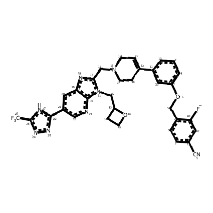 N#Cc1ccc(COc2cccc(C3=CCN(Cc4nc5cc(-c6nnc(C(F)(F)F)[nH]6)cnc5n4CC4CCO4)CC3)c2)c(F)c1